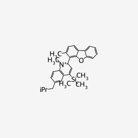 Cc1ccc2c(oc3ccccc32)c1-c1cc([Si](C)(C)C)c2cc(CC(C)C)ccc2[n+]1C